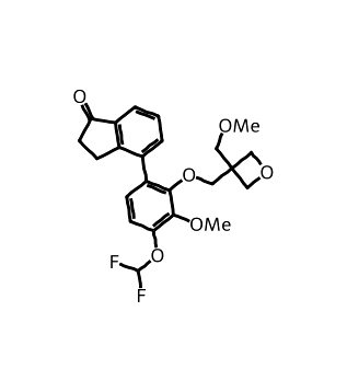 COCC1(COc2c(-c3cccc4c3CCC4=O)ccc(OC(F)F)c2OC)COC1